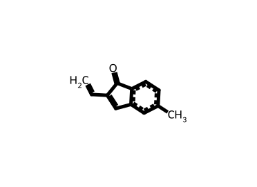 C=CC1=Cc2cc(C)ccc2C1=O